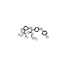 CCOC(=O)C(Oc1cccc(C(C)(C)C)c1)c1ccc(Oc2ccc(Cl)cc2)cc1